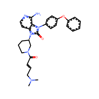 CN(C)C/C=C/C(=O)N1CCC[C@@H](n2c(=O)n(-c3ccc(Oc4ccccc4)cc3)c3c(N)nccc32)C1